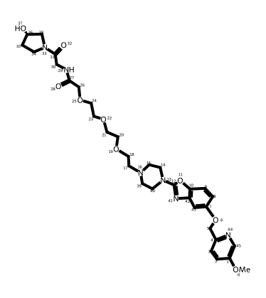 COc1ccc(COc2ccc3oc(N4CCN(CCOCCOCCOCC(=O)NCC(=O)N5CC[C@@H](O)C5)CC4)nc3c2)nc1